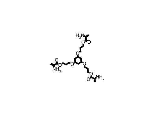 C=C(N)C(=O)OCCCOC1CC(OCCCOC(=O)C(=C)N)CC(OCCCOC(=O)C(=C)N)C1